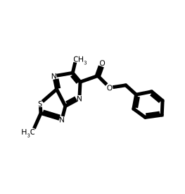 Cc1nc2nc(C(=O)OCc3ccccc3)c(C)nc2s1